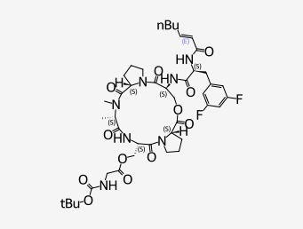 CCCC/C=C/C(=O)N[C@@H](Cc1cc(F)cc(F)c1)C(=O)N[C@H]1COC(=O)[C@@H]2CCCN2C(=O)[C@H](COC(=O)CNC(=O)OC(C)(C)C)NC(=O)[C@H](C)N(C)C(=O)[C@@H]2CCCN2C1=O